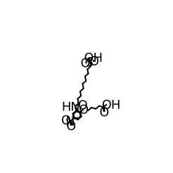 O=C(O)CCCCOc1ccc([N+](=O)[O-])cc1NC(=O)CCCCCCCCCCS(=O)(=O)O